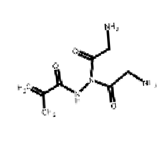 C=C(C)C(=O)NN(C(=O)CN)C(=O)CN